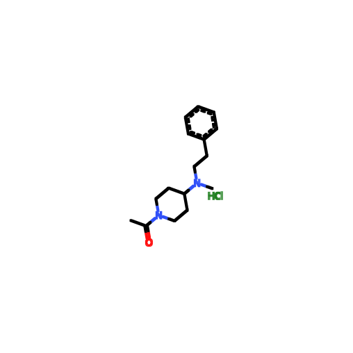 CC(=O)N1CCC(N(C)CCc2ccccc2)CC1.Cl